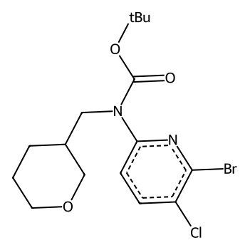 CC(C)(C)OC(=O)N(CC1CCCOC1)c1ccc(Cl)c(Br)n1